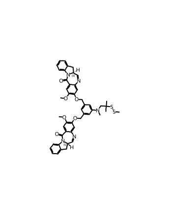 COc1cc2c(cc1OCc1cc(COc3cc4c(cc3OC)C(=O)N3c5ccccc5C[C@H]3C=N4)cc(N(C)CC(C)(C)SSC)c1)N=C[C@@H]1Cc3ccccc3N1C2=O